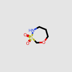 O=S1(=O)COCCCN1